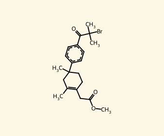 COC(=O)CC1=C(C)CC(C)(c2ccc(C(=O)C(C)(C)Br)cc2)CC1